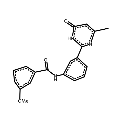 COc1cccc(C(=O)Nc2cccc(-c3nc(C)cc(=O)[nH]3)c2)c1